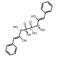 OC(=Cc1ccccc1)[C@@H](O)[C@](O)(Cl)[C@@](O)(Cl)[C@@H](O)C(O)=Cc1ccccc1